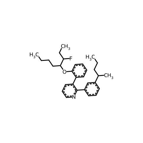 CCCCC(Oc1ccccc1-c1cccnc1-c1cccc(C(C)CCC)c1)C(F)CC